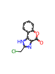 O=c1oc2ccccc2c2[nH]c(CCl)nc12